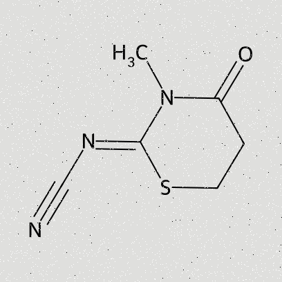 CN1C(=O)CCS/C1=N\C#N